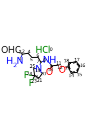 Cl.NC(C=O)CCCC(NC(=O)COc1ccccc1)N1CCC(F)(F)C1